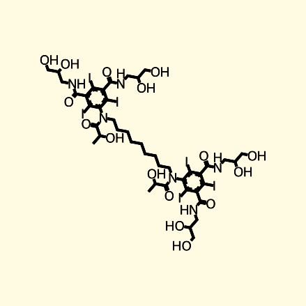 CC(O)C(=O)N(CCCCCCCCCN(C(=O)C(C)O)c1c(I)c(C(=O)NCC(O)CO)c(I)c(C(=O)NCC(O)CO)c1I)c1c(I)c(C(=O)NCC(O)CO)c(I)c(C(=O)NCC(O)CO)c1I